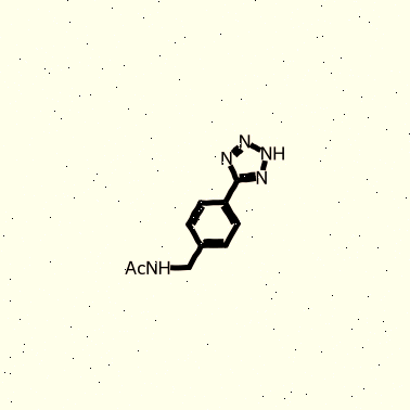 CC(=O)NCc1ccc(-c2nn[nH]n2)cc1